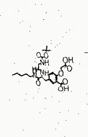 CCCCCNC(=O)[C@H](Cc1ccc(OCC(=O)O)c(C(=O)O)c1)NC(=O)[C@H](C)NC(=O)OC(C)(C)C